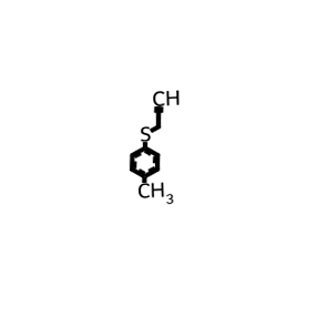 C#CCSc1ccc(C)cc1